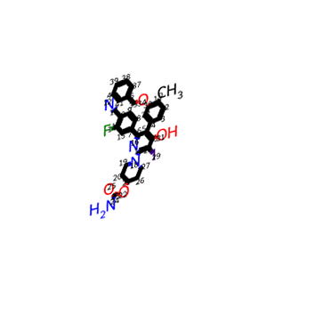 Cc1ccc(-c2c(-c3ccc(C#N)c(F)c3)nc(N3CCC(OC(N)=O)CC3)c(I)c2O)cc1OCc1ccccc1